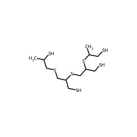 CC(S)CSCC(CS)SCC(CS)SC(C)CS